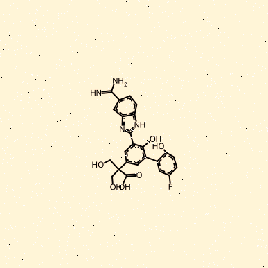 N=C(N)c1ccc2[nH]c(-c3cc(C(CO)(CO)C(=O)O)cc(-c4cc(F)ccc4O)c3O)nc2c1